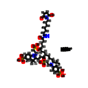 CC1(C)C(=CC=CC(=CC=CC2=[N+](CCS(=O)(=O)[O-])c3ccc(S(=O)(=O)[O-])cc3C2(C)C)CCCCCCC(=O)NCCCCCCN2C(=O)C=CC2=O)N(CCS(=O)(=O)[O-])c2ccc(S(=O)(=O)[O-])cc21.[Na+].[Na+].[Na+]